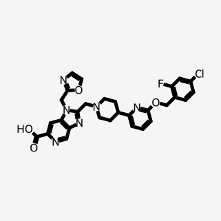 O=C(O)c1cc2c(cn1)nc(CN1CCC(c3cccc(OCc4ccc(Cl)cc4F)n3)CC1)n2Cc1ncco1